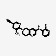 Cc1cc(C#N)cnc1N1CCc2ncc(Nc3cccnc3F)cc2C1